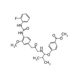 COC(=O)c1ccc(OC(NCC(=O)Cc2ccc(NC(=O)Nc3ccccc3F)c(OC)c2)C(C)C)cc1